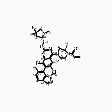 C=CC(=O)N1C[C@H](C)N(c2nc(OC[C@@H]3CC(F)(F)CN3C)nc3c(F)c(-c4c(C)ccc5cnn(C)c45)c(Cl)cc23)C[C@H]1C